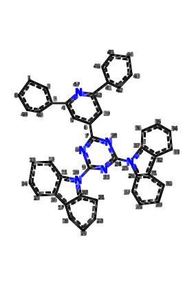 c1ccc(-c2cc(-c3nc(-n4c5ccccc5c5ccccc54)nc(-n4c5ccccc5c5ccccc54)n3)cc(-c3ccccc3)n2)cc1